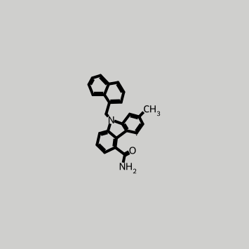 Cc1c[c]c2c3c(C(N)=O)cccc3n(Cc3cccc4ccccc34)c2c1